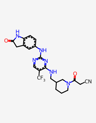 N#CCC(=O)N1CCCC(CNc2nc(Nc3ccc4c(c3)CC(=O)N4)ncc2C(F)(F)F)C1